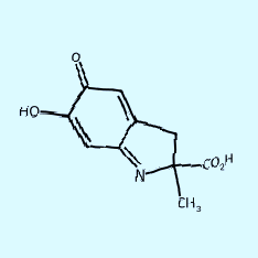 CC1(C(=O)O)CC2=CC(=O)C(O)=CC2=N1